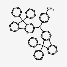 Cc1ccc(N(c2ccc3c(c2)C(c2ccccc2)(c2ccccc2)c2ccccc2-3)c2ccc3c(c2)C(c2ccccc2)(c2ccccc2)c2ccccc2-3)cc1